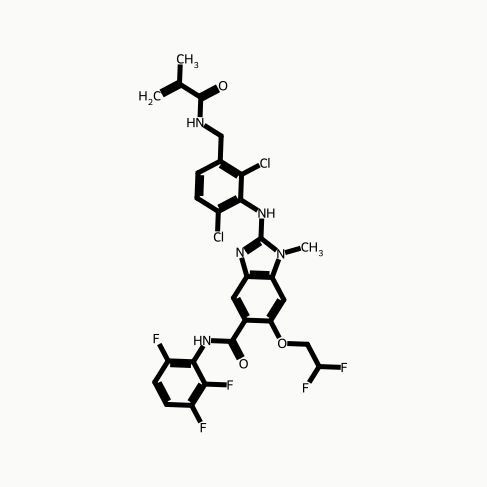 C=C(C)C(=O)NCc1ccc(Cl)c(Nc2nc3cc(C(=O)Nc4c(F)ccc(F)c4F)c(OCC(F)F)cc3n2C)c1Cl